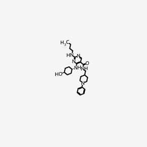 CCCCNc1ncc(C(=O)NCC2CCN(c3ccccc3)CC2)c(N[C@H]2CC[C@H](O)CC2)n1